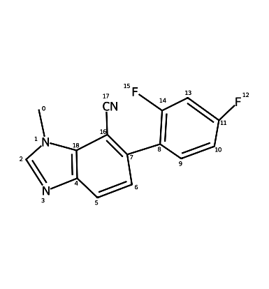 Cn1cnc2ccc(-c3ccc(F)cc3F)c(C#N)c21